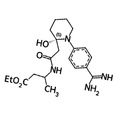 CCOC(=O)CC(C)NC(=O)C[C@@]1(O)CCCCN1c1ccc(C(=N)N)cc1